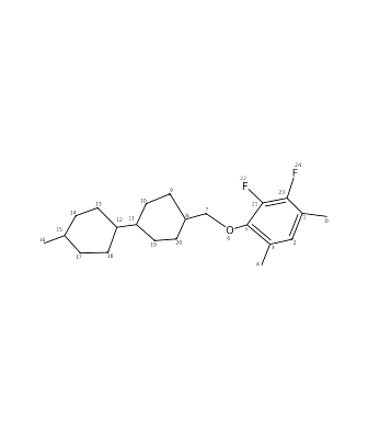 Cc1cc(C)c(OCC2CCC(C3CCC(C)CC3)CC2)c(F)c1F